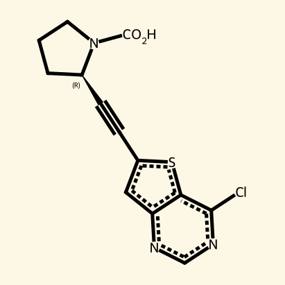 O=C(O)N1CCC[C@@H]1C#Cc1cc2ncnc(Cl)c2s1